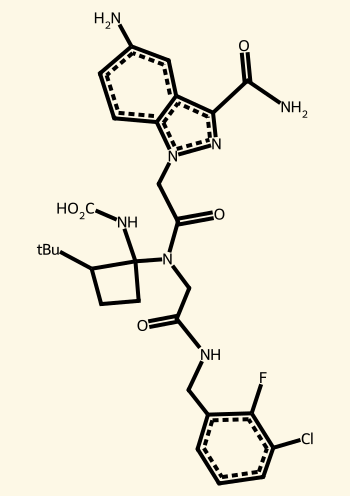 CC(C)(C)C1CCC1(NC(=O)O)N(CC(=O)NCc1cccc(Cl)c1F)C(=O)Cn1nc(C(N)=O)c2cc(N)ccc21